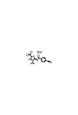 CC(C)N1C(=NC(=O)c2ccc(C#N)cc2)SC(C(=O)[O-])C1C.[Na+]